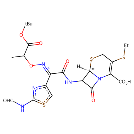 CCSC1=C(C(=O)O)N2C(=O)C(NC(=O)/C(=N/OC(C)C(=O)OC(C)(C)C)c3csc(NC=O)n3)[C@H]2SC1